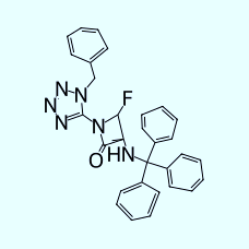 CC1(NC(c2ccccc2)(c2ccccc2)c2ccccc2)C(=O)N(c2nnnn2Cc2ccccc2)C1F